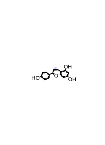 O=C(/C=C\c1ccc(O)cc1O)c1ccc(O)cc1